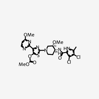 COC(=O)Oc1sc(N2CC[C@@H](NC(=O)c3[nH]c(C)c(Cl)c3Cl)[C@@H](OC)C2)nc1-c1nccc(OC)n1